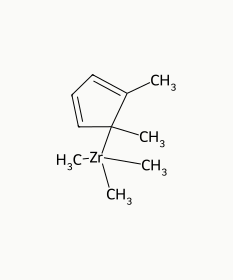 CC1=CC=C[C]1(C)[Zr]([CH3])([CH3])[CH3]